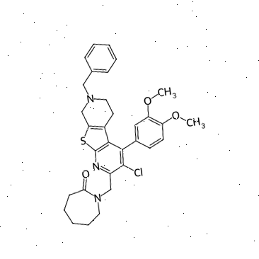 COc1ccc(-c2c(Cl)c(CN3CCCCCC3=O)nc3sc4c(c23)CCN(Cc2ccccc2)C4)cc1OC